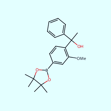 COc1cc(B2OC(C)(C)C(C)(C)O2)ccc1C(C)(O)c1ccccc1